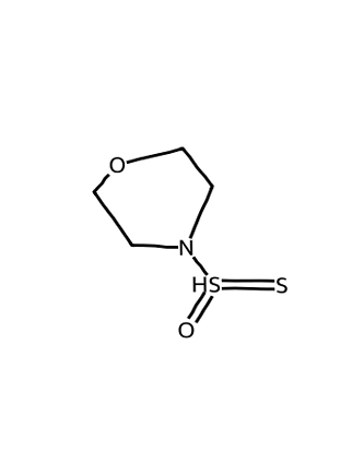 O=[SH](=S)N1CCOCC1